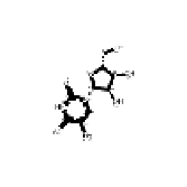 O=c1[nH]c(=O)n([C@@H]2O[C@H](CO)[C@@H](O)[C@H]2O)c[c]1[Hg]